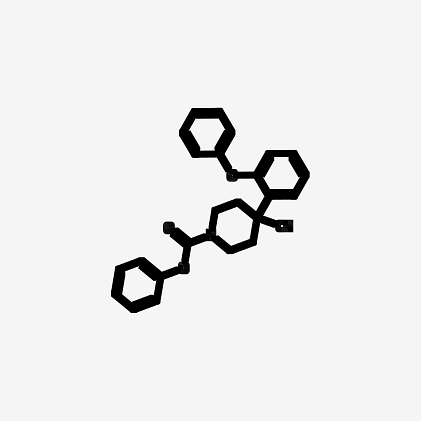 N#CC1(c2ccccc2Oc2ccccc2)CCN(C(=O)Oc2ccccc2)CC1